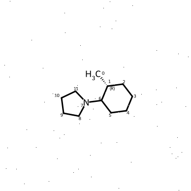 C[C@@H]1CCCCC1N1CCCC1